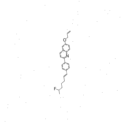 C=CCOc1ccc2nc(-c3ccc(/C=C/CCCC(C)F)cc3)ccc2c1